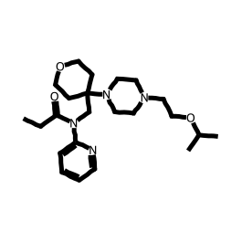 CCC(=O)N(CC1(N2CCN(CCOC(C)C)CC2)CCOCC1)c1ccccn1